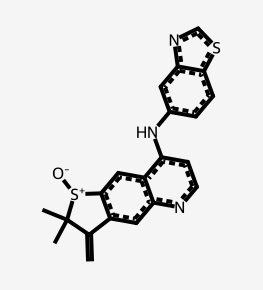 C=C1c2cc3nccc(Nc4ccc5scnc5c4)c3cc2[S+]([O-])C1(C)C